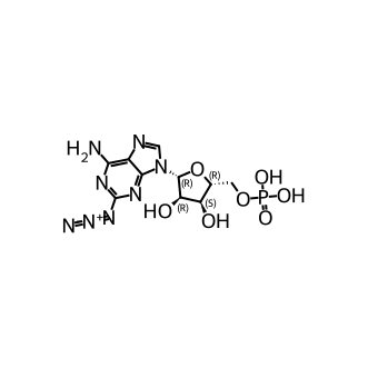 [N-]=[N+]=Nc1nc(N)c2ncn([C@@H]3O[C@H](COP(=O)(O)O)[C@@H](O)[C@H]3O)c2n1